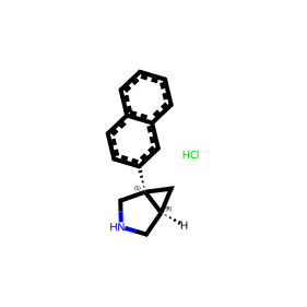 Cl.c1ccc2cc([C@@]34CNC[C@@H]3C4)ccc2c1